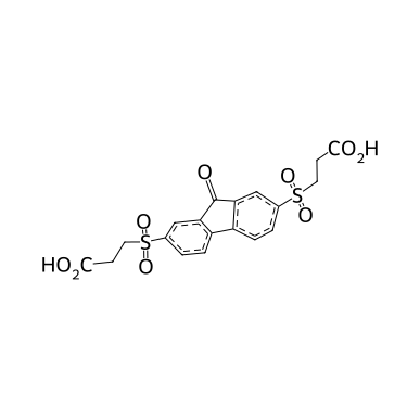 O=C(O)CCS(=O)(=O)c1ccc2c(c1)C(=O)c1cc(S(=O)(=O)CCC(=O)O)ccc1-2